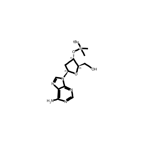 CC(C)(C)[Si](C)(C)O[C@H]1C[C@H](n2cnc3c(N)ncnc32)O[C@@H]1CO